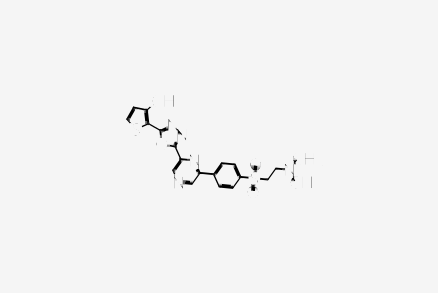 Cc1ccsc1-c1nnc(-c2cncc(-c3ccc(S(=O)(=O)CCN(C)C)cc3)n2)o1